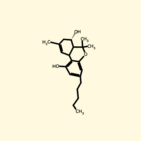 CCCCCc1cc(O)c2c(c1)OC(C)(C)C1C2C=C(C)C[C@@H]1O